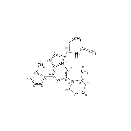 C=NN/C(=C\C)c1cnc2c(-c3ccnn3C)cc(N3CCOC[C@H]3C)nn12